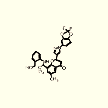 Cc1cc([C@@H](C)Nc2ccccc2CO)c2oc(-c3cnn(-c4ccc5c(c4)OC(F)(F)O5)c3)cc(=O)c2c1